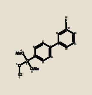 CCO[Si](OC)(OC)c1ccc(-c2cccc(F)c2)cc1